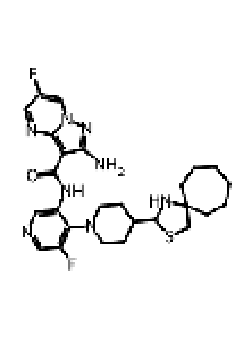 Nc1nn2cc(F)cnc2c1C(=O)Nc1cncc(F)c1N1CCC(C2NC3(CCCCCC3)CS2)CC1